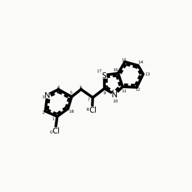 Clc1cncc(CC(Cl)c2nc3ccccc3s2)c1